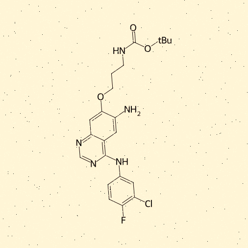 CC(C)(C)OC(=O)NCCCOc1cc2ncnc(Nc3ccc(F)c(Cl)c3)c2cc1N